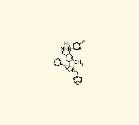 C/N=C\C1C[C@H](C23CN(Cc4ccccc4)CC2[C@H]3c2ccccc2)C(C)=CC1Nc1ccc(F)cc1